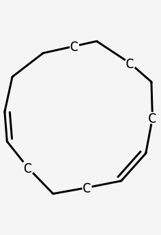 C1=CCCCCCCCC=CCCC1